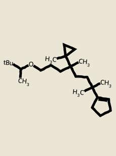 CC(OCCCC(C)(CCC(C)(C)C1=CCCC1)C1(C)CC1)C(C)(C)C